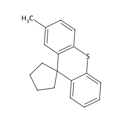 Cc1ccc2c(c1)C1(CCCC1)c1ccccc1S2